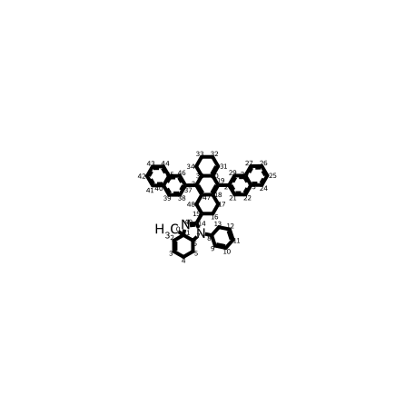 CC12C=CCCC1N(C1C=CC=CC1)C(C1CCC3=C(c4ccc5ccccc5c4)C4=CCCCC4C(c4ccc5ccccc5c4)=C3C1)=N2